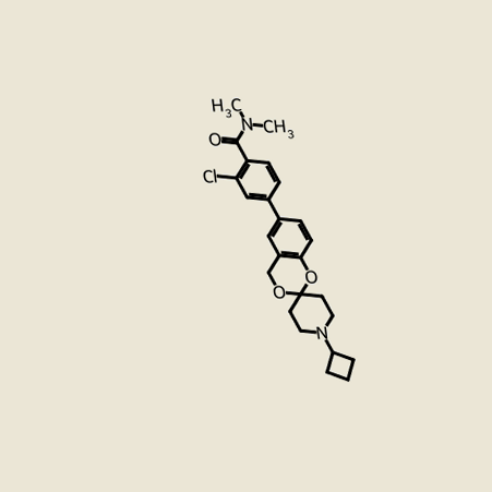 CN(C)C(=O)c1ccc(-c2ccc3c(c2)COC2(CCN(C4CCC4)CC2)O3)cc1Cl